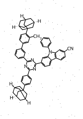 Cc1cc(-c2cccc(-c3nc(-c4ccc(C56C[C@H]7C[C@@H](C5)C[C@@H](C6)C7)cc4)nc(-c4ccc5c6ccc(C#N)cc6n(-c6ccccc6)c5c4)n3)c2)ccc1C12C[C@H]3C[C@@H](C1)C[C@@H](C2)C3